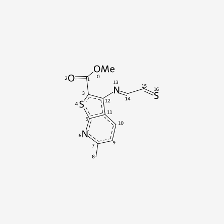 COC(=O)c1sc2nc(C)ccc2c1N=CC=S